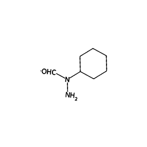 NN([C]=O)C1CCCCC1